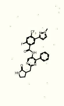 Cn1ccc(-c2cc(C(=O)Nc3cnc(CC4CCNC4=O)nc3-c3ccccc3)c(F)cc2C(F)(F)F)n1